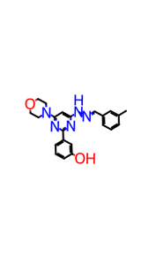 Cc1cccc(/C=N/Nc2cc(N3CCOCC3)nc(-c3cccc(O)c3)n2)c1